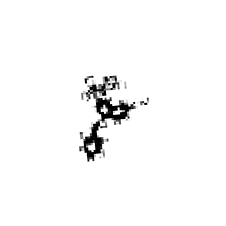 CC(C)(C)OC(=O)N(I)c1cc(OCc2ccccc2)c2ccc(C#N)cc2c1